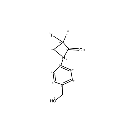 O=C1N(c2ccc(CO)cc2)CC1(F)F